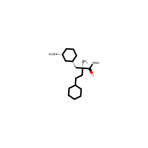 B[C@](CCC1CCCCC1)(C[C@H]1CCC[C@@H](NC(C)=O)C1)C(=O)NC